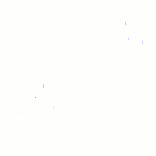 CC(C)(C)c1ccc(CC(C)(C)c2cccc(-n3nccn3)c2)cc1-n1cnc(C(F)(F)F)n1